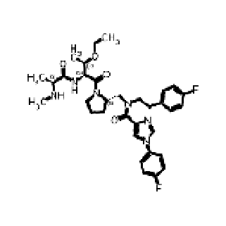 CCO[C@H](C)[C@H](NC(=O)[C@H](C)NC)C(=O)N1CCC[C@H]1CN(CCc1ccc(F)cc1)C(=O)c1cn(-c2ccc(F)cc2)cn1